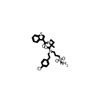 CC1(C(=O)N(CCCS(N)(=O)=O)CCc2ccc(Cl)cc2)CCN1C(=O)c1csc2ccccc12